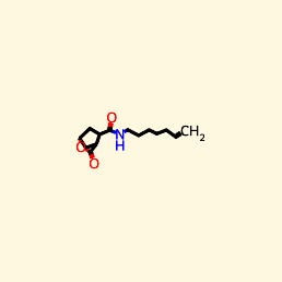 C=CCCCCCNC(=O)C1CC2CC1C(=O)O2